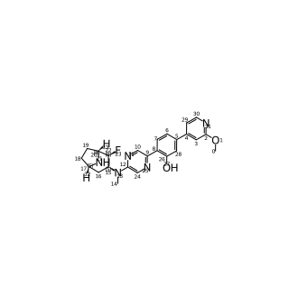 COc1cc(-c2ccc(-c3cnc(N(C)[C@H]4C[C@@H]5CC[C@@H](N5)[C@H]4F)cn3)c(O)c2)ccn1